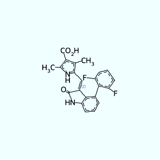 Cc1[nH]c(/C=C2\C(=O)Nc3cccc(-c4c(F)cccc4F)c32)c(C)c1C(=O)O